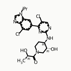 CC(C)n1cnc2c(Cl)cc(-c3nc(N[C@@H]4CCN(C(=O)[C@@H](C)O)C[C@H]4O)ncc3Cl)cc21